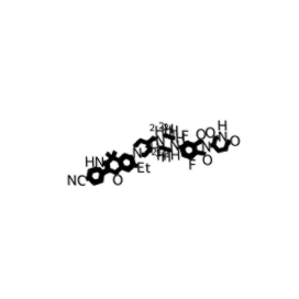 [2H]C1([2H])N(CC2CCN(c3cc4c(cc3CC)C(=O)c3c([nH]c5cc(C#N)ccc35)C4(C)C)CC2)C([2H])([2H])C([2H])([2H])N(c2cc(F)c3c(c2F)C(=O)N(C2CCC(=O)NC2=O)C3=O)C1([2H])[2H]